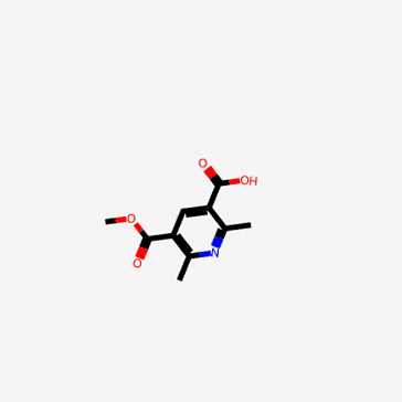 COC(=O)c1cc(C(=O)O)c(C)nc1C